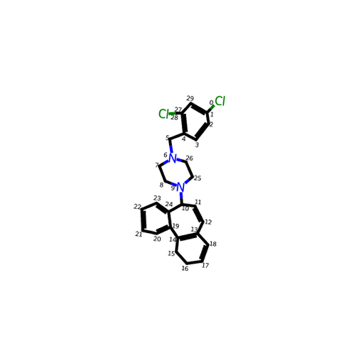 Clc1ccc(CN2CCN(C3C=CC4=C(CCC=C4)c4ccccc43)CC2)c(Cl)c1